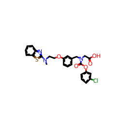 CN(CCOc1cccc(CN(CC(=O)O)C(=O)Oc2cccc(Cl)c2)c1)c1nc2ccccc2s1